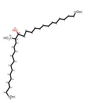 CCCCCCCCCCCCCCCCCCCCCCCC(O)C(CCCCCCCCCCCCCCCCCCCCCC)C(=O)O